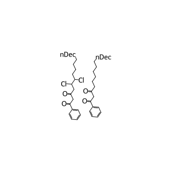 CCCCCCCCCCCCCCC(Cl)C(Cl)CC(=O)CC(=O)c1ccccc1.CCCCCCCCCCCCCCCCC(=O)CC(=O)c1ccccc1